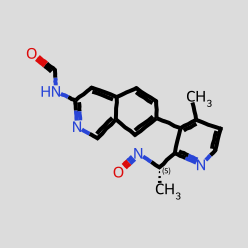 Cc1ccnc([C@H](C)N=O)c1-c1ccc2cc(NC=O)ncc2c1